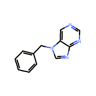 c1ccc(Cn2cnc3ncncc32)cc1